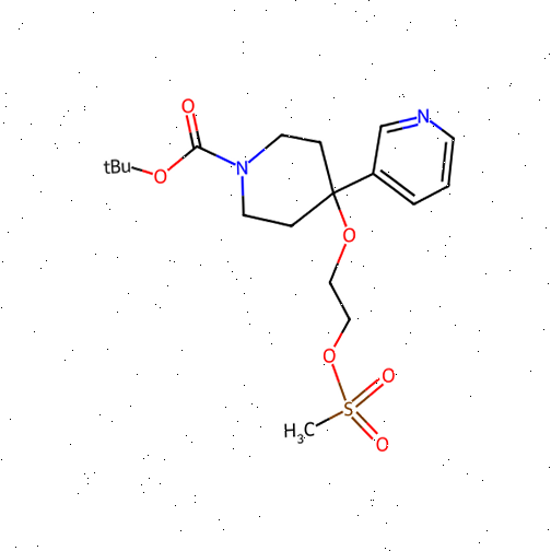 CC(C)(C)OC(=O)N1CCC(OCCOS(C)(=O)=O)(c2cccnc2)CC1